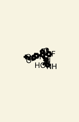 COc1cc(F)ccc1-c1c(-c2cnn(C3(CO)CCNCC3)c2)nc(-c2ccc3c(c2)CCN(C(=O)OC(C)(C)C)C3)c2ccsc12